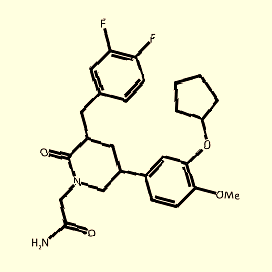 COc1ccc(C2CC(Cc3ccc(F)c(F)c3)C(=O)N(CC(N)=O)C2)cc1OC1CCCC1